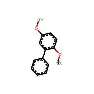 CC(C)Oc1ccc(OC(C)(C)C)c(-c2ccccc2)c1